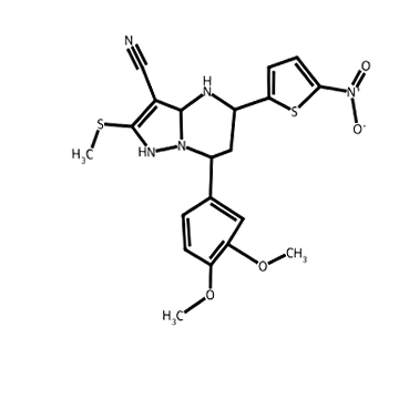 COc1ccc(C2CC(c3ccc([N+](=O)[O-])s3)NC3C(C#N)=C(SC)NN32)cc1OC